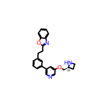 c1cc(CCc2nc3ccccc3o2)cc(-c2cncc(OC[C@@H]3CCN3)c2)c1